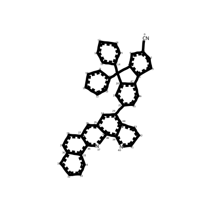 N#Cc1ccc2c(c1)C(c1ccccc1)(c1ccccc1)c1cc(-c3cc4cc5ccc6ccccc6c5nc4c4ncccc34)ccc1-2